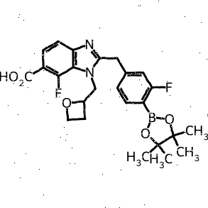 CC1(C)OB(c2ccc(Cc3nc4ccc(C(=O)O)c(F)c4n3CC3CCO3)cc2F)OC1(C)C